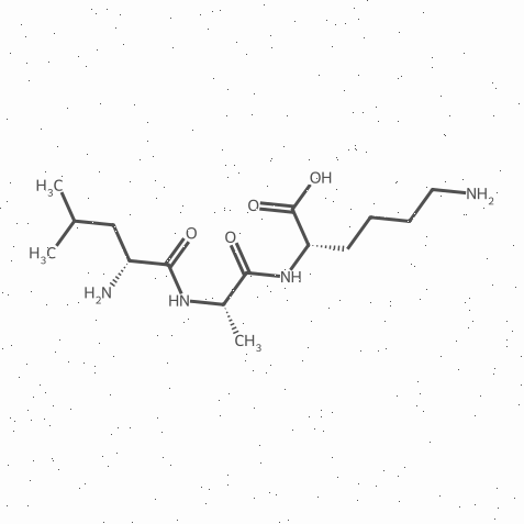 CC(C)C[C@@H](N)C(=O)N[C@@H](C)C(=O)N[C@@H](CCCCN)C(=O)O